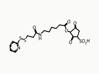 O=C(CCSSc1ccccn1)NCCCCCC(=O)OC1C(=O)CC(S(=O)(=O)O)C1=O